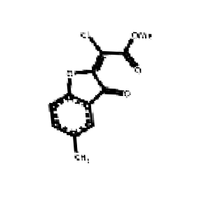 COC(=O)C(Cl)=C1Oc2ccc(C)cc2C1=O